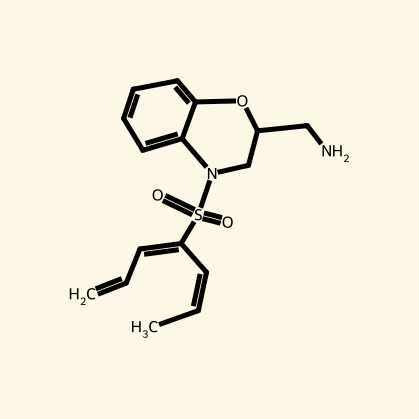 C=C/C=C(\C=C/C)S(=O)(=O)N1CC(CN)Oc2ccccc21